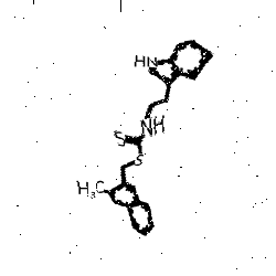 Cc1cc2ccccc2cc1CSC(=S)NCCc1c[nH]c2ccccc12